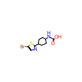 O=C(O)NC1CCC(c2ncc(Br)s2)CC1